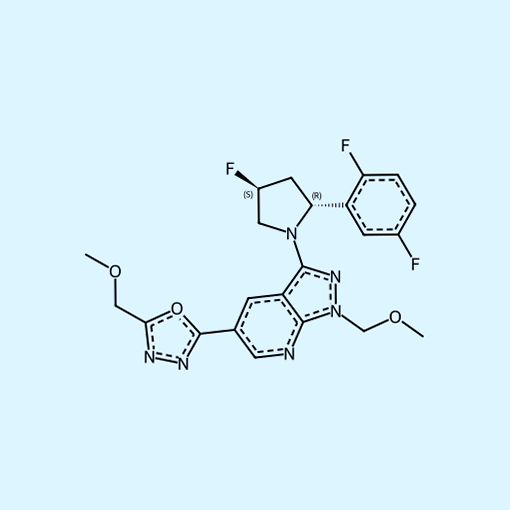 COCc1nnc(-c2cnc3c(c2)c(N2C[C@@H](F)C[C@@H]2c2cc(F)ccc2F)nn3COC)o1